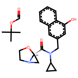 CC(C)(C)OC=O.O=C(N(Cc1cc(O)c2ccccc2c1)C1CC1)[C@]12CN1CCO2